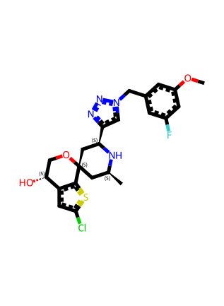 COc1cc(F)cc(Cn2cc([C@@H]3C[C@]4(C[C@H](C)N3)OC[C@@H](O)c3cc(Cl)sc34)nn2)c1